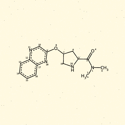 CN(C)C(=O)C1CC(Oc2cnc3ccccc3n2)CN1